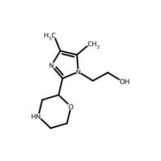 Cc1nc(C2CNCCO2)n(CCO)c1C